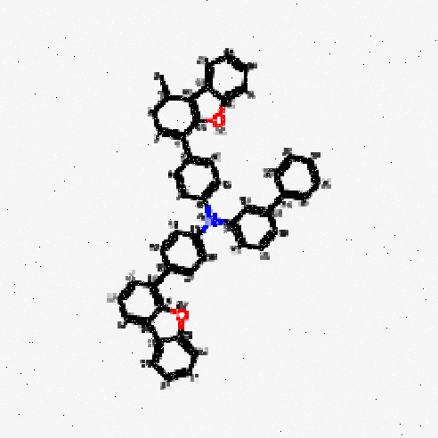 CC1CC=C(c2ccc(N(c3ccc(-c4cccc5c4oc4ccccc45)cc3)c3cccc(-c4ccccc4)c3)cc2)c2oc3ccccc3c21